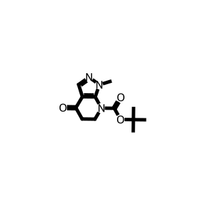 Cn1ncc2c1N(C(=O)OC(C)(C)C)CCC2=O